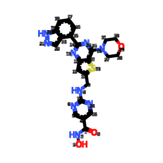 O=C(NO)c1cnc(NCc2cc3nc(-c4cccc5[nH]ncc45)nc(N4CCOCC4)c3s2)nc1